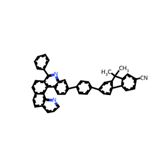 CC1(C)c2cc(C#N)ccc2-c2ccc(-c3ccc(-c4ccc5c(c4)nc(-c4ccccc4)c4ccc6ccc7cccnc7c6c45)cc3)cc21